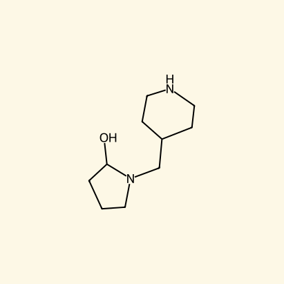 OC1CCCN1CC1CCNCC1